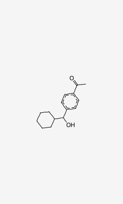 CC(=O)c1ccc(C(O)C2CCCCC2)cc1